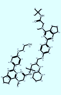 CN(CC(=O)NC(C)(C)C)c1nc(-c2ccc(OCC(CC(C)(C)NC(=O)CN(C)c3nc(-c4ccc(OCCO)cn4)nc4c3CCC4)OC3CCCCO3)cn2)nc2c1CCC2